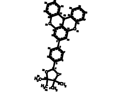 CC1(C)OB(c2ccc(-c3cc4c5c(c3)Oc3ccccc3B5c3ccccc3O4)cc2)OC1(C)C